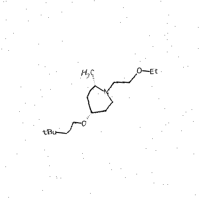 CCOCCN1CC[C@H](OCCC(C)(C)C)C[C@@H]1C